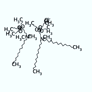 CCCCCCCCCCCCCC[N+](C)(CCCCCCCCCCCCCC)CCC[Si](OCCC)(OCCC)OCCC.CCCCCCCCCCCCC[N+](C)(C)CCC[Si](OCCC)(OCCC)OCCC.[Cl-].[Cl-]